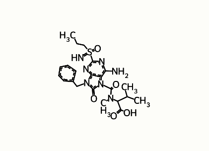 CCCS(=N)(=O)c1nc(N)c2c(n1)n(Cc1ccccc1)c(=O)n2C(=O)N(C)C(C(=O)O)C(C)C